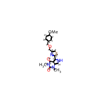 COc1ccc(COCc2csc(-c3[nH]cc4c3c(=O)n(C)c(=O)n4C)n2)cc1